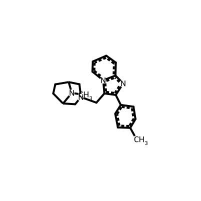 Cc1ccc(-c2nc3ccccn3c2CN2CC3CCC(C2)N3C)cc1